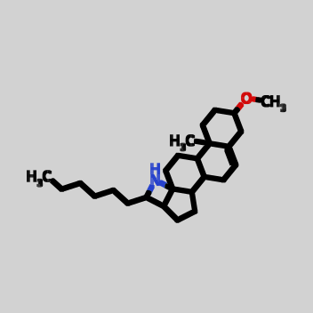 CCCCCCC1NC23CCC4C(CC=C5CC(OC)CCC54C)C2CCC13